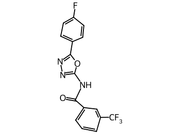 O=C(Nc1nnc(-c2ccc(F)cc2)o1)c1cccc(C(F)(F)F)c1